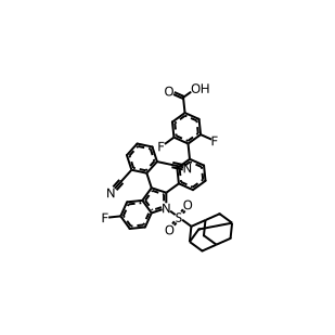 N#Cc1cccc(C#N)c1-c1c(-c2cccc(-c3c(F)cc(C(=O)O)cc3F)c2)n(S(=O)(=O)C2C3CC4CC(C3)CC2C4)c2ccc(F)cc12